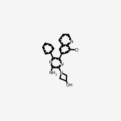 Nc1nc(-c2ccccc2)c(-c2cc(Cl)c3ncccc3c2)nc1N1CC(O)C1